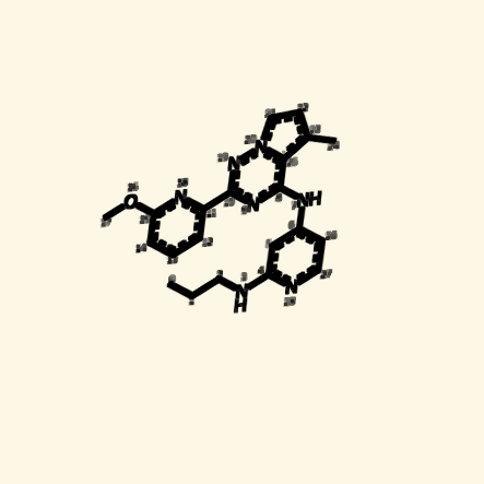 CCCNc1cc(Nc2nc(-c3cccc(OC)n3)nn3ccc(C)c23)ccn1